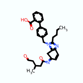 CCCCc1nc2c(n1Cc1ccc(-c3ccccc3C(=O)O)cc1)CC(=NC(=O)CC(C)CC=O)C=C2